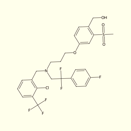 CS(=O)(=O)c1cc(OCCCN(Cc2cccc(C(F)(F)F)c2Cl)CC(F)(F)c2ccc(F)cc2)ccc1CO